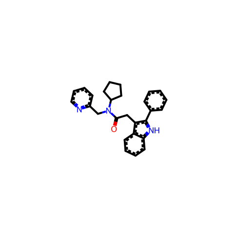 O=C(Cc1c(-c2ccccc2)[nH]c2ccccc12)N(Cc1ccccn1)C1CCCC1